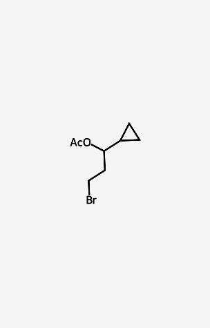 CC(=O)OC(CCBr)C1CC1